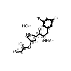 CC(=O)N[C@@H](Cc1cc(F)cc(F)c1)[C@H](O)[C@H]1C[C@@H](O[C@H](O)CC(C)(C)C)CN1.Cl